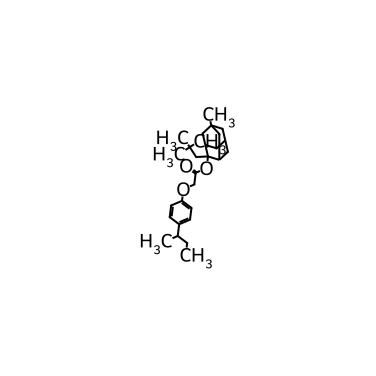 CCC(C)c1ccc(OCC(=O)OC2(CC(C)(C)C)C3CC4CC2CC(C)(C4)C3)cc1